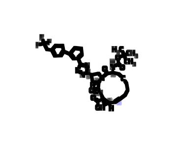 CC(C)(C)OC(=O)N[C@@H]1CCCCC/C=C\[C@@H]2C[C@]2(C(=O)O)NC(=O)[C@@H]2C[C@H](n3nnc(-c4cccc(-c5ccc(CC(F)(F)F)cc5)c4)n3)CN2C1=O